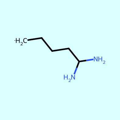 [CH2]CCCC(N)N